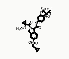 COC1(C(=O)N2Cc3cc(S(=O)(=O)CC4CC4)ccc3C2C(=O)Nc2ccc(C(O)(C(F)(F)F)C(F)(F)F)cc2)CC1